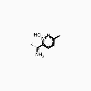 Cc1ccc([C@@H](C)N)nn1.Cl